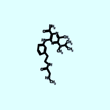 CNCC(=O)NCCc1cccc(Nc2nc(N(C)C(C)C)c(C)nc2C(N)=O)c1